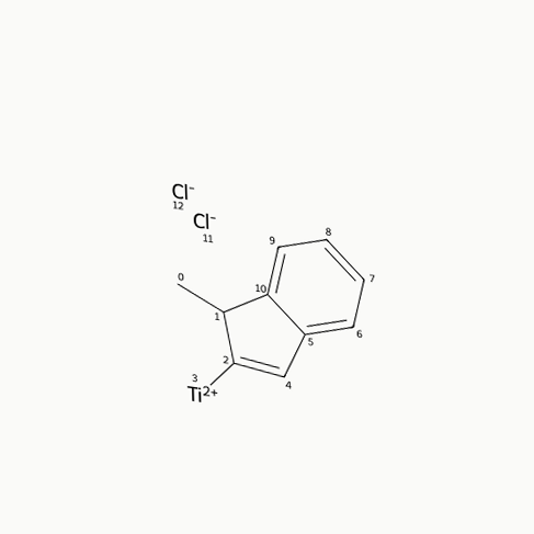 CC1[C]([Ti+2])=Cc2ccccc21.[Cl-].[Cl-]